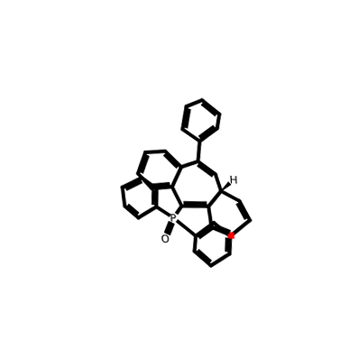 O=P(C1=C2C=CC=C[C@H]2C=C(c2ccccc2)c2ccccc21)(c1ccccc1)c1ccccc1